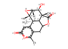 CCc1oc(=O)cc2c1CC1OC(=O)[C@]3(C)C1[C@]2(C)[C@@H]1O[C@@H]1[C@H]3O